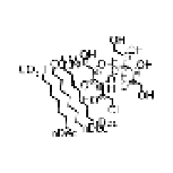 CCCCCCCCCCCCCCCCCC(=O)O.CCCCCCCCCCCCCCCCCC(=O)O.CCCCCCCCCCCCCCCCCC(=O)O.OC[C@@H](O)[C@@H](O)[C@H](O)[C@@H](O)CO.OC[C@@H](O)[C@@H](O)[C@H](O)[C@@H](O)CO